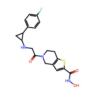 O=C(NO)c1cc2c(s1)CCN(C(=O)CNC1CC1c1ccc(F)cc1)C2